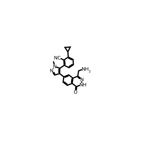 Cn1ncc(-c2ccc3c(=O)[nH]nc(CN)c3c2)c1-c1cccc(C2CC2)c1C#N